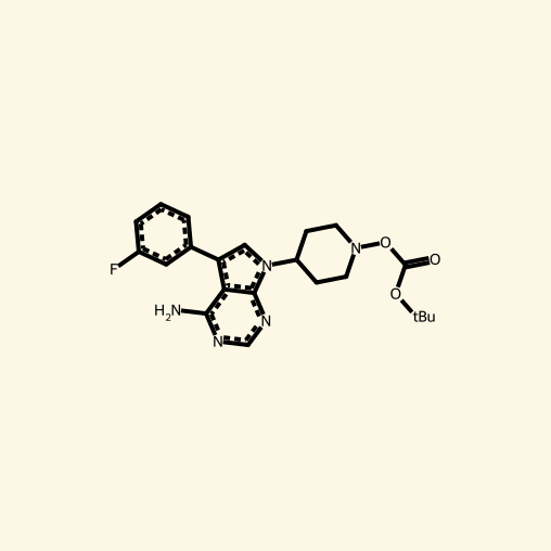 CC(C)(C)OC(=O)ON1CCC(n2cc(-c3cccc(F)c3)c3c(N)ncnc32)CC1